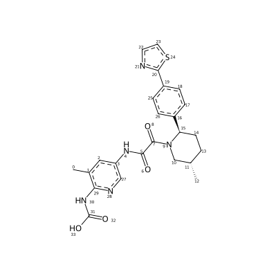 Cc1cc(NC(=O)C(=O)N2C[C@@H](C)CC[C@@H]2c2ccc(-c3nccs3)cc2)cnc1NC(=O)O